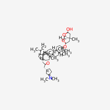 C=C(C)[C@@H]1CC[C@]2(CC(=O)C[C@@H]3CC[C@@H](N(C)C)C3)CC[C@]3(C)[C@H](CC[C@@H]4[C@@]5(C)CC[C@H](OC(=O)CC(C)(C)CC(=O)O)C(C)(C)[C@@H]5CC[C@]43C)[C@@H]12